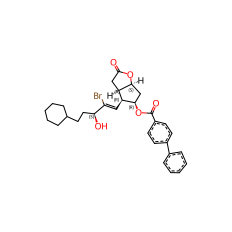 O=C1C[C@@H]2[C@H](C=C(Br)[C@@H](O)CCC3CCCCC3)[C@H](OC(=O)c3ccc(-c4ccccc4)cc3)C[C@@H]2O1